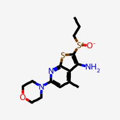 CCC[S+]([O-])c1sc2nc(N3CCOCC3)cc(C)c2c1N